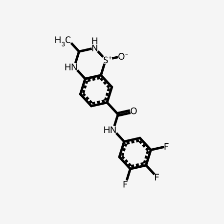 CC1Nc2ccc(C(=O)Nc3cc(F)c(F)c(F)c3)cc2[S+]([O-])N1